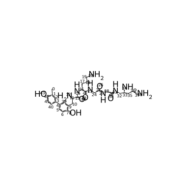 Cc1cc(-c2ccc(O)c(C[C@H](N)C(=O)N[C@@H](CCCN)C(=O)NCC(=O)NCC(=O)NC[C@@H](N)CCCN)c2)ccc1O